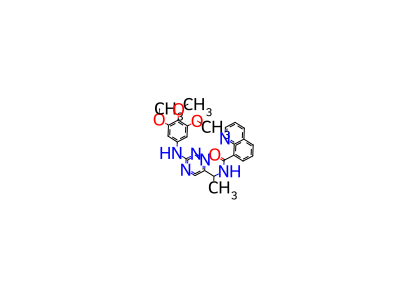 COc1cc(Nc2ncc(C(C)NC(=O)c3cccc4cccnc34)nn2)cc(OC)c1OC